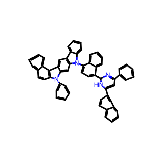 C1=C(c2ccc3ccccc3c2)NC(c2ccc(-n3c4ccccc4c4cc5c6c7ccccc7ccc6n(-c6ccccc6)c5cc43)c3ccccc23)N=C1c1ccccc1